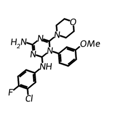 COc1cccc(N2C(N3CCOCC3)=NC(N)=NC2Nc2ccc(F)c(Cl)c2)c1